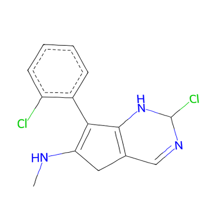 CNC1=C(c2ccccc2Cl)C2=C(C=NC(Cl)N2)C1